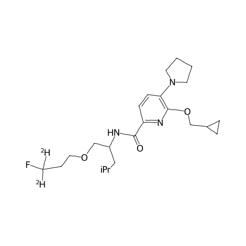 [2H]C([2H])(F)CCOCC(CC(C)C)NC(=O)c1ccc(N2CCCC2)c(OCC2CC2)n1